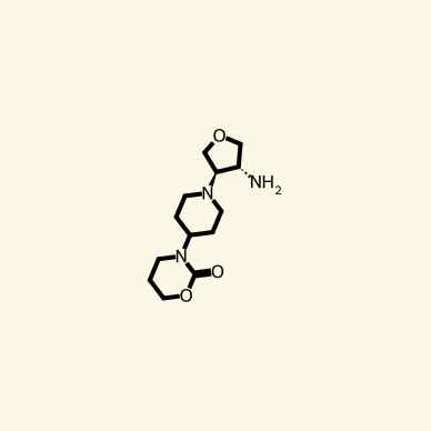 N[C@H]1COC[C@@H]1N1CCC(N2CCCOC2=O)CC1